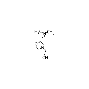 C#CCN1CCO[C@H](CCN(C)C)C1